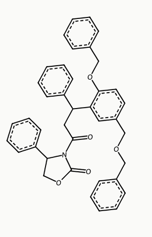 O=C(CC(c1ccccc1)c1cc(COCc2ccccc2)ccc1OCc1ccccc1)N1C(=O)OCC1c1ccccc1